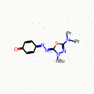 CCCCn1nc(N(C(C)C)C(C)C)s/c1=N\N=C1C=CC(=O)C=C1